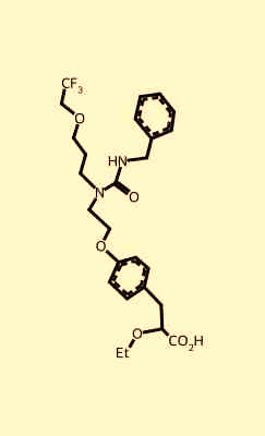 CCOC(Cc1ccc(OCCN(CCCOCC(F)(F)F)C(=O)NCc2ccccc2)cc1)C(=O)O